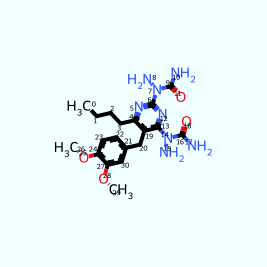 CCCCc1nc(N(N)C(N)=O)nc(N(N)C(N)=O)c1Cc1ccc(OC)c(OC)c1